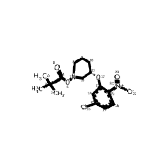 CC(C)(C)C(=O)ON1CCC[C@H](Oc2cc(Cl)ccc2[N+](=O)[O-])C1